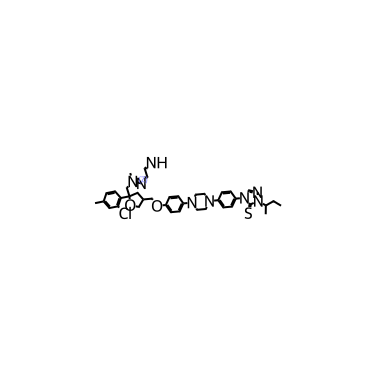 CCC(C)n1ncn(-c2ccc(N3CCN(c4ccc(OCC5COC(CN(C)/N=C\C=N)(c6ccc(C)cc6Cl)C5)cc4)CC3)cc2)c1=S